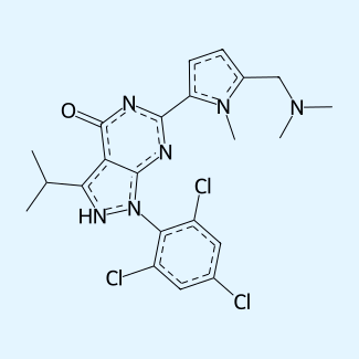 CC(C)c1[nH]n(-c2c(Cl)cc(Cl)cc2Cl)c2nc(-c3ccc(CN(C)C)n3C)nc(=O)c1-2